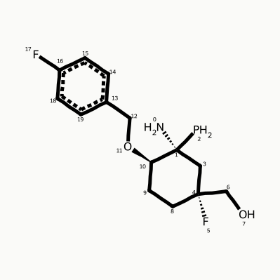 N[C@]1(P)C[C@@](F)(CO)CC[C@H]1OCc1ccc(F)cc1